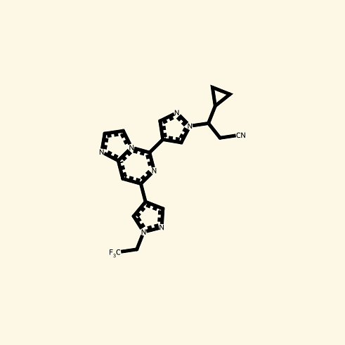 N#CCC(C1CC1)n1cc(-c2nc(-c3cnn(CC(F)(F)F)c3)cc3nccn23)cn1